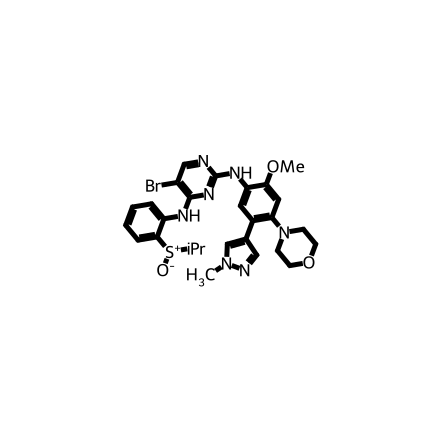 COc1cc(N2CCOCC2)c(-c2cnn(C)c2)cc1Nc1ncc(Br)c(Nc2ccccc2[S+]([O-])C(C)C)n1